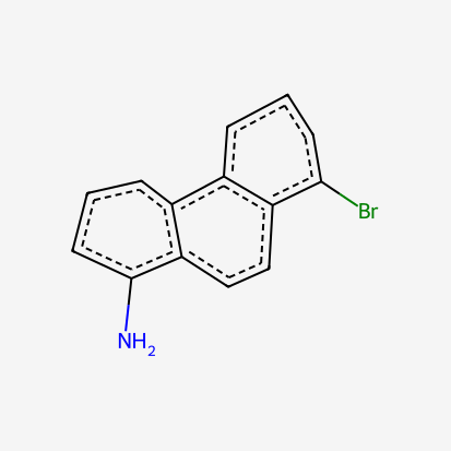 Nc1cccc2c1ccc1c(Br)cccc12